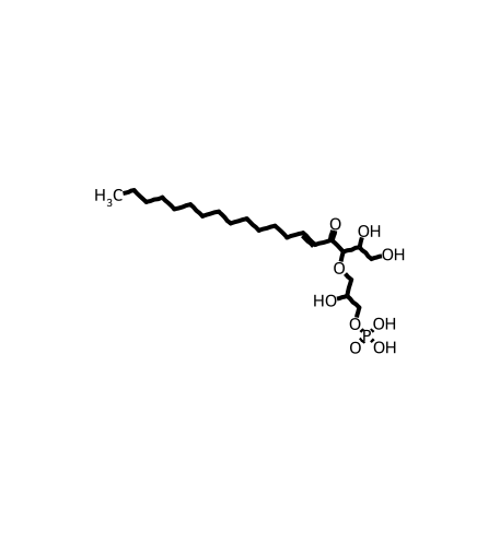 CCCCCCCCCCCCCC=CC(=O)C(OCC(O)COP(=O)(O)O)C(O)CO